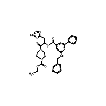 CCOC(=O)N1CCN(C(=O)C(Cc2nn[nH]n2)NC(=O)c2cc(NCc3ccccc3)nc(-c3ccccc3)n2)CC1